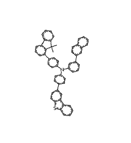 CC1(C)c2ccccc2-c2cccc(-c3ccc(N(c4ccc(-c5ccc6sc7ccccc7c6c5)cc4)c4cccc(-c5ccc6ccccc6c5)c4)cc3)c21